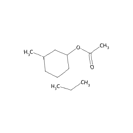 CC(=O)OC1CCCC(C)C1.CCC